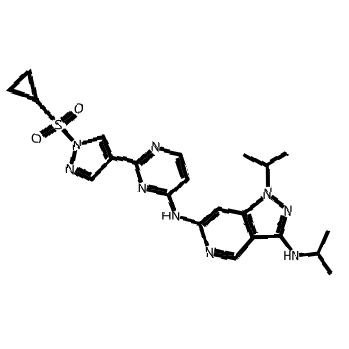 CC(C)Nc1nn(C(C)C)c2cc(Nc3ccnc(-c4cnn(S(=O)(=O)C5CC5)c4)n3)ncc12